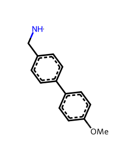 COc1ccc(-c2ccc(C[NH])cc2)cc1